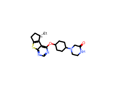 CC[C@H]1CCc2sc3ncnc(OC4CCC(N5CCNC(=O)C5)CC4)c3c21